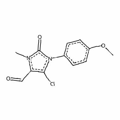 COc1ccc(-n2c(Cl)c(C=O)n(C)c2=O)cc1